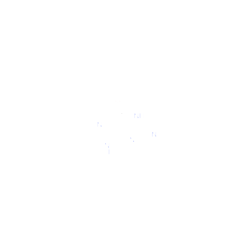 O=c1[nH]c2nccn2c2[nH]cnc12